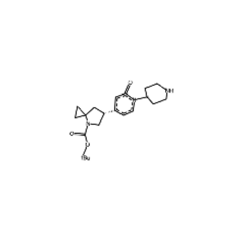 CC(C)(C)OC(=O)N1C[C@@H](c2ccn(C3CCNCC3)c(=O)c2)CC12CC2